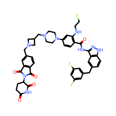 O=C1CCC(N2C(=O)c3ccc(CN4CC(CN5CCN(c6ccc(C(=O)Nc7n[nH]c8ccc(Cc9cc(F)cc(F)c9)cc78)c(NCCF)c6)CC5)C4)cc3C2=O)C(=O)N1